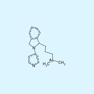 C[As](C)CCCC1c2ccccc2CN1c1ccncc1